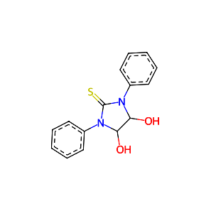 OC1C(O)N(c2ccccc2)C(=S)N1c1ccccc1